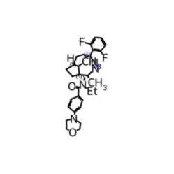 CCN(C[C@@]12CC[C@@H](C/C=C(c3c(F)cccc3F)\N=N/C1C)C2C)C(=O)c1ccc(N2CCOCC2)cc1